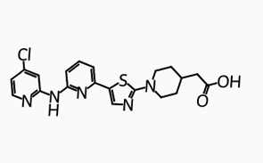 O=C(O)CC1CCN(c2ncc(-c3cccc(Nc4cc(Cl)ccn4)n3)s2)CC1